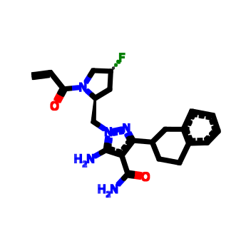 C=CC(=O)N1C[C@H](F)C[C@H]1Cn1nc(C2CCc3ccccc3C2)c(C(N)=O)c1N